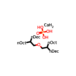 CCCCCCCCCCC(CCCCCCCC)COCC(CCCCCCCC)CCCCCCCCCC.O=P(O)(O)O.[CaH2]